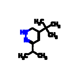 CC(C)C1=NNCC(C(C)(C)C)=C1